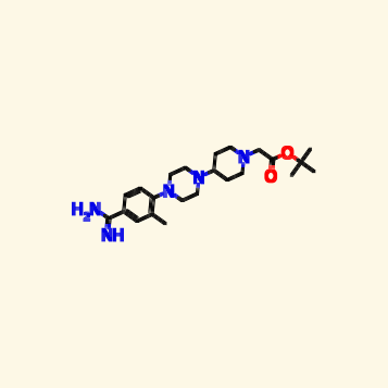 Cc1cc(C(=N)N)ccc1N1CCN(C2CCN(CC(=O)OC(C)(C)C)CC2)CC1